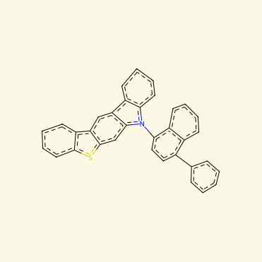 c1ccc(-c2ccc(-n3c4ccccc4c4cc5c(cc43)sc3ccccc35)c3ccccc23)cc1